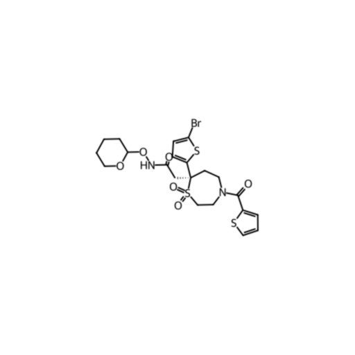 O=C(C[C@]1(c2ccc(Br)s2)CCN(C(=O)c2cccs2)CCS1(=O)=O)NOC1CCCCO1